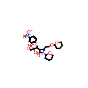 O=CC(O)(O)C(Cc1ccc([N+](=O)[O-])cc1)C1C(=O)N(C2CCCCO2)C1CCOC1CCCCO1